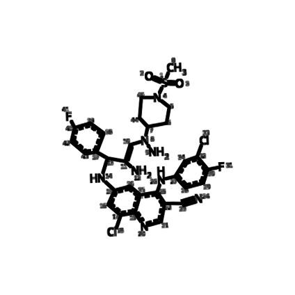 CS(=O)(=O)N1CCC(N(N)/C=C(\N)C(Nc2cc(Cl)c3ncc(C#N)c(Nc4ccc(F)c(Cl)c4)c3c2)c2ccc(F)cc2)CC1